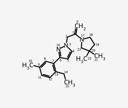 C=C(Cn1ccc(-c2cc(C)ccc2CC)n1)N1CCC(C)(C)C1